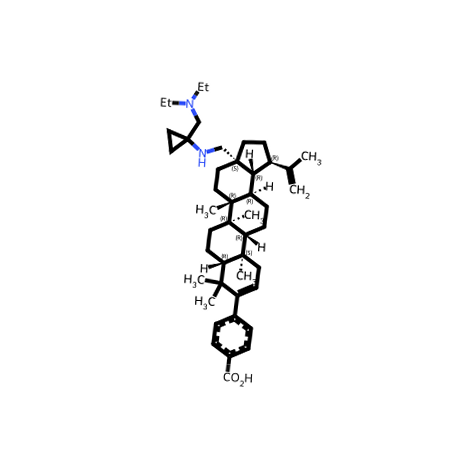 C=C(C)[C@@H]1CC[C@]2(CNC3(CN(CC)CC)CC3)CC[C@]3(C)[C@H](CC[C@@H]4[C@@]5(C)CC=C(c6ccc(C(=O)O)cc6)C(C)(C)[C@@H]5CC[C@]43C)[C@@H]12